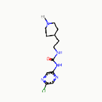 CCN1CCC(CCNC(=O)Nc2cnc(Cl)cn2)CC1